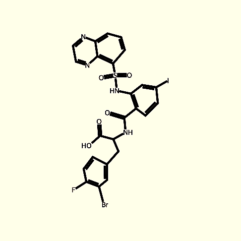 O=C(NC(Cc1ccc(F)c(Br)c1)C(=O)O)c1ccc(I)cc1NS(=O)(=O)c1cccc2nccnc12